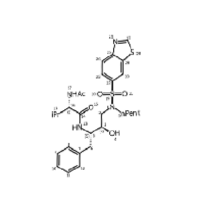 CCCCCN(C[C@@H](O)[C@H](Cc1ccccc1)NC(=O)[C@@H](NC(C)=O)C(C)C)S(=O)(=O)c1ccc2ncsc2c1